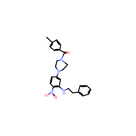 Cc1ccc(C(=O)N2CCN(c3ccc([N+](=O)[O-])c(NCCc4ccccc4)c3)CC2)cc1